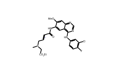 CCOC(=O)CN(C)C/C=C/C(=O)Nc1cc2c(Nc3ccc(F)c(Cl)c3)ncnc2cc1OC